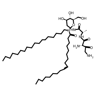 CCCCCCCC/C=C\CCCCCCCC(=O)N(CCCCCCCCCCCCCCCCCC)[C@@]1(NC(=O)[C@H](C)NC(=O)[C@@H](N)C(=O)CN)C[C@@H](O)[C@H](O)[C@@H](CO)O1